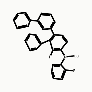 CC(C)(C)N(c1ccccc1F)c1ccc(-c2cccc(-c3ccccc3)c2)c(-c2ccccc2)c1F